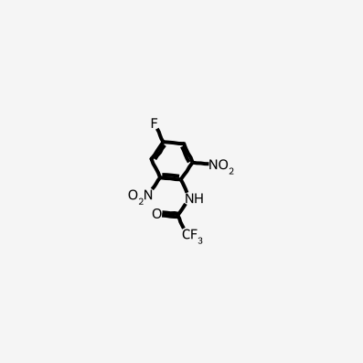 O=C(Nc1c([N+](=O)[O-])cc(F)cc1[N+](=O)[O-])C(F)(F)F